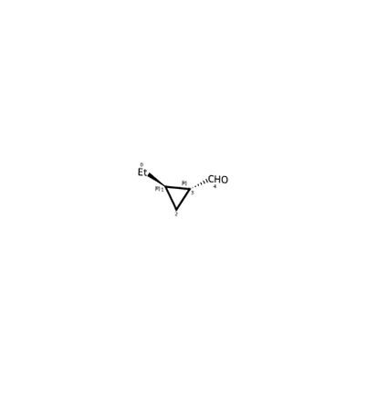 CC[C@@H]1C[C@H]1C=O